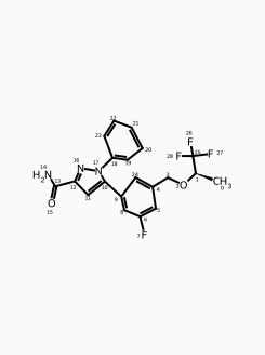 C[C@@H](OCc1cc(F)cc(-c2cc(C(N)=O)nn2-c2ccccc2)c1)C(F)(F)F